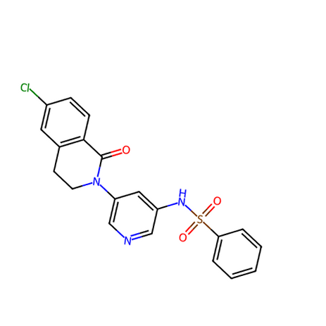 O=C1c2ccc(Cl)cc2CCN1c1cncc(NS(=O)(=O)c2ccccc2)c1